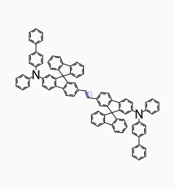 C(=C\c1ccc2c(c1)C1(c3ccccc3-c3ccccc31)c1cc(N(c3ccccc3)c3ccc(-c4ccccc4)cc3)ccc1-2)/c1ccc2c(c1)C1(c3ccccc3-c3ccccc31)c1cc(N(c3ccccc3)c3ccc(-c4ccccc4)cc3)ccc1-2